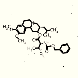 COc1cc2c(cc1OC)C1CC(OC(=O)[C@H](NC(=O)OCc3ccccc3)C(C)C)[C@H](CC(C)C)CN1CC2